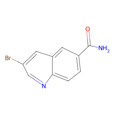 NC(=O)c1ccc2ncc(Br)cc2c1